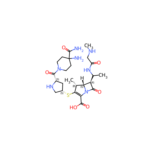 CNCC(=O)NC(C)[C@H]1C(=O)N2C(C(=O)O)=C(S[C@@H]3CN[C@H](C(=O)N4CCC(N)(C(N)=O)CC4)C3)[C@H](C)[C@H]12